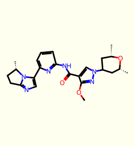 COc1nn(C2C[C@@H](C)O[C@@H](C)C2)cc1C(=O)Nc1cccc(-c2cnc3n2[C@@H](C)CC3)n1